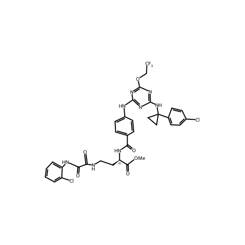 COC(=O)[C@@H](CCNC(=O)C(=O)Nc1ccccc1Cl)NC(=O)c1ccc(Nc2nc(NC3(c4ccc(Cl)cc4)CC3)nc(OCC(F)(F)F)n2)cc1